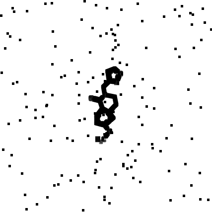 COc1ccc2c(c1)CCN(Cc1ccon1)C2=O